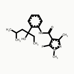 CCC(O)(CC(C)C)c1ccccc1NC(=O)c1c(C)nn(C)c1F